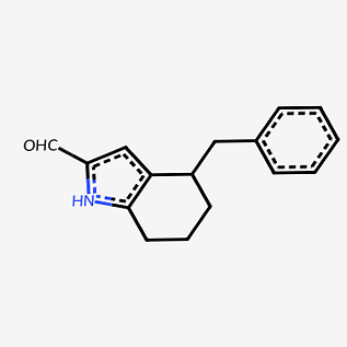 O=Cc1cc2c([nH]1)CCCC2Cc1ccccc1